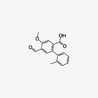 COc1cc(C(=O)O)c(-c2ccccc2C)cc1C=O